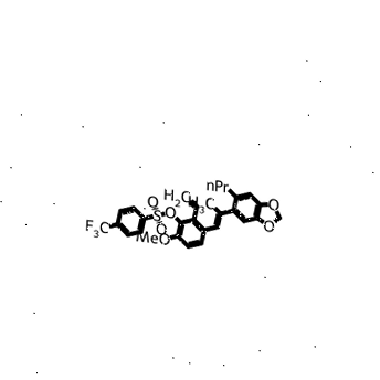 C=Cc1c(/C=C(\C)c2cc3c(cc2CCC)OCO3)ccc(OC)c1OS(=O)(=O)c1ccc(C(F)(F)F)cc1